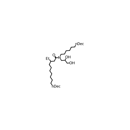 CCCCCCCCCCCCCCCCCC(CC)CC(=O)N(CCCCCCCCCCCCCCCC)CC(O)CO